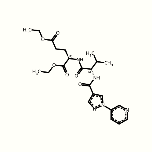 CCOC(=O)CC[C@@H](NC(=O)[C@@H](NC(=O)c1cnn(-c2cccnc2)c1)C(C)C)C(=O)OCC